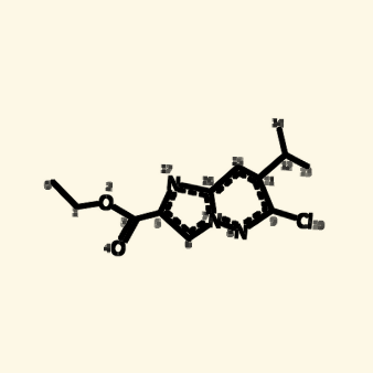 CCOC(=O)c1cn2nc(Cl)c(C(C)C)cc2n1